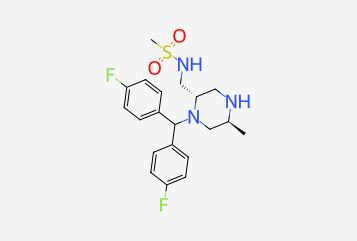 C[C@H]1CN(C(c2ccc(F)cc2)c2ccc(F)cc2)[C@H](CNS(C)(=O)=O)CN1